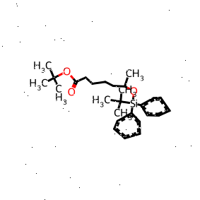 CC(CCCCC(=O)OC(C)(C)C)O[Si](c1ccccc1)(c1ccccc1)C(C)(C)C